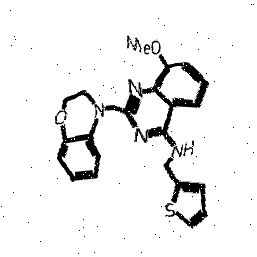 COc1cccc2c(NCc3cccs3)nc(N3CCOc4ccccc43)nc12